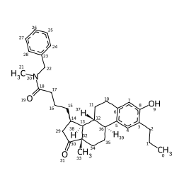 CCCc1cc2c(cc1O)CC[C@H]1[C@@H]3[C@H](CCCC(=O)N(C)Cc4ccccc4)CC(=O)[C@@]3(C)CC[C@H]21